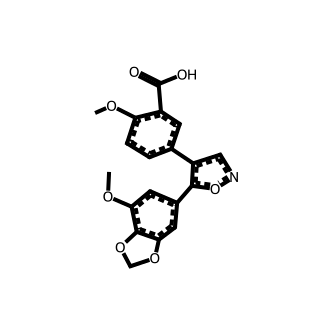 COc1ccc(-c2cnoc2-c2cc(OC)c3c(c2)OCO3)cc1C(=O)O